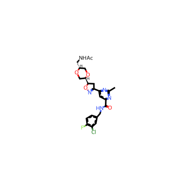 CC(=O)NC[C@@H]1CO[C@@H](C2CC(c3cc(C(=O)NCc4ccc(F)c(Cl)c4)nc(C)n3)=NO2)CO1